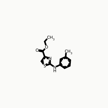 CCOC(=O)c1csc(Nc2cccc(C)c2)n1